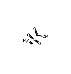 C=O.O=C=O.O=CO